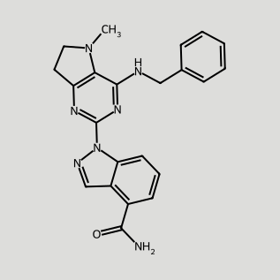 CN1CCc2nc(-n3ncc4c(C(N)=O)cccc43)nc(NCc3ccccc3)c21